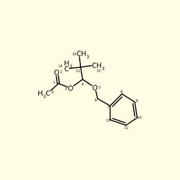 CC(=O)OC(OCc1ccccc1)C(C)(C)C